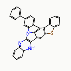 C1=CC2=Nc3c(c4cc5sc6ccccc6c5c5c6ccc(-c7ccccc7)cc6n3c45)NC2C=C1